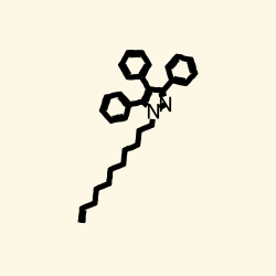 C=CCCCCCCCCCn1nc(-c2ccccc2)c(-c2ccccc2)c1-c1ccccc1